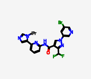 CC(C)n1cncc1-c1cccc(NC(=O)c2cn(-c3cncc(Br)c3)nc2C(F)F)n1